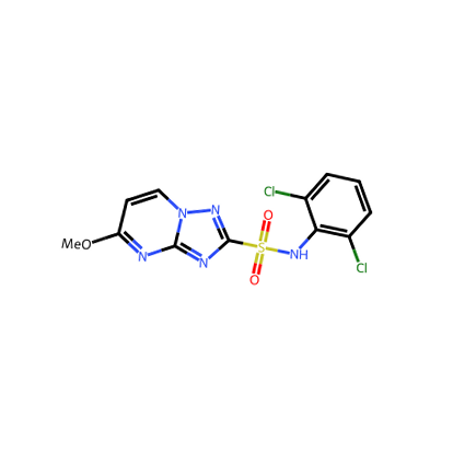 COc1ccn2nc(S(=O)(=O)Nc3c(Cl)cccc3Cl)nc2n1